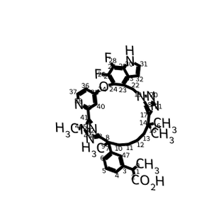 CC(C(=O)O)c1cccc(C2(C)CCCCC(C)(C)c3cn(nn3)Cc3c(c(F)c(F)c4[nH]ccc34)Oc3ccnc(c3)-c3nc2nn3C)c1